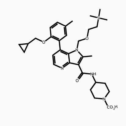 Cc1ccc(OCC2CC2)c(-c2ccnc3c(C(=O)NC4CCN(C(=O)O)CC4)c(C)n(COCC[Si](C)(C)C)c23)c1